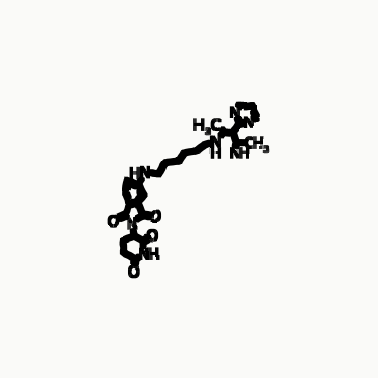 CC(=N)/C(=C(/C)NCCCCCCNc1ccc2c(c1)C(=O)N(C1CCC(=O)NC1=O)C2=O)c1ncccn1